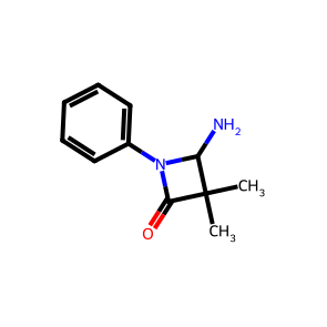 CC1(C)C(=O)N(c2ccccc2)C1N